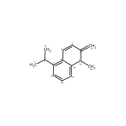 C=C1C=Cc2c(C(C)C)cccc2N1C